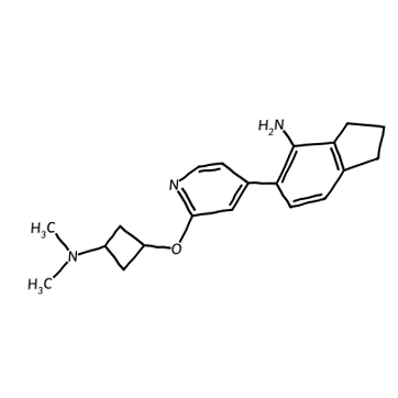 CN(C)C1CC(Oc2cc(-c3ccc4c(c3N)CCC4)ccn2)C1